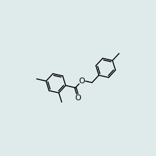 Cc1ccc(COC(=O)c2ccc(C)cc2C)cc1